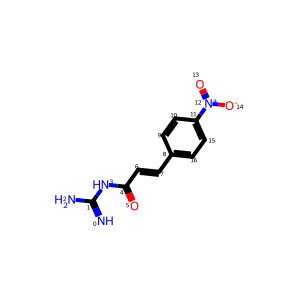 N=C(N)NC(=O)C=Cc1ccc([N+](=O)[O-])cc1